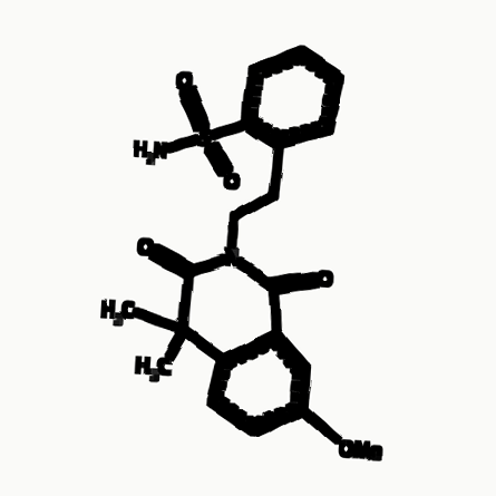 COc1ccc2c(c1)C(=O)N(CCc1ccccc1S(N)(=O)=O)C(=O)C2(C)C